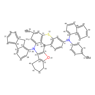 CC(C)(C)c1ccc(N(c2ccc3c(c2)Sc2cc(C(C)(C)C)cc4c2B3c2oc3c(c2N4c2cccc4c2Cc2ccccc2-4)CCCC3)c2cccc3ccccc23)cc1